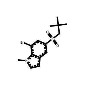 Cn1ccc2cc(S(=O)(=O)CC(C)(C)C)cc(Br)c21